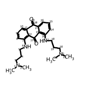 CN(C)CCCNc1cccc2c1C(=O)c1c(NCCCN(C)C)cccc1C2=O